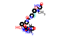 CN(c1cccc([C@@H]2CCN(CC(=O)N3CCC(Oc4cccc(N5[C@@H]6COC[C@H]5CN(c5cc(-c7ccccc7O)nnc5N)C6)c4)CC3)CC2(F)F)c1)[C@@H]1CCC(=O)NC1=O